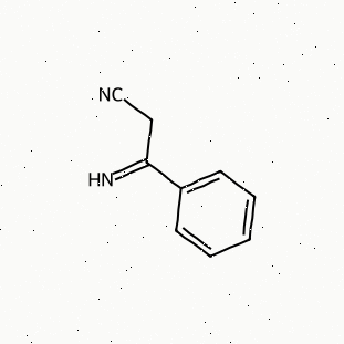 N#CCC(=N)c1ccccc1